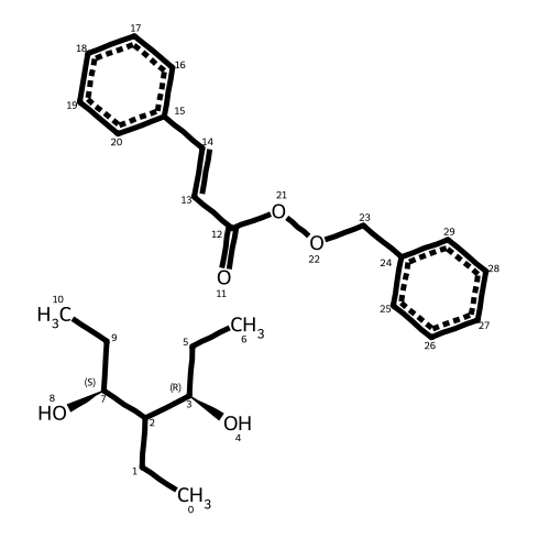 CCC([C@H](O)CC)[C@@H](O)CC.O=C(C=Cc1ccccc1)OOCc1ccccc1